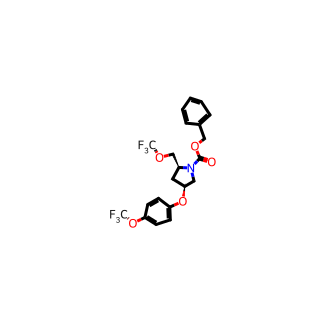 O=C(OCc1ccccc1)N1C[C@@H](Oc2ccc(OC(F)(F)F)cc2)C[C@H]1COC(F)(F)F